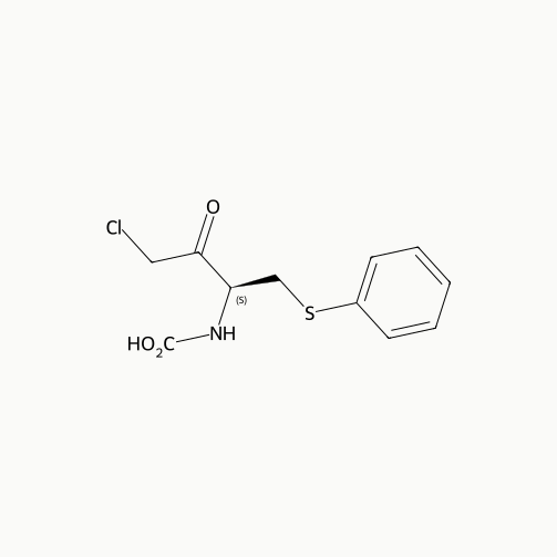 O=C(O)N[C@H](CSc1ccccc1)C(=O)CCl